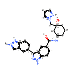 Cn1cc2cc(-c3n[nH]c4ccc(C(=O)N[C@H]5CCC[C@](O)(Cn6cccn6)C5)cc34)ccc2n1